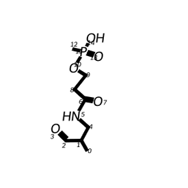 CC(C=O)CNC(=O)CCOP(C)(=O)O